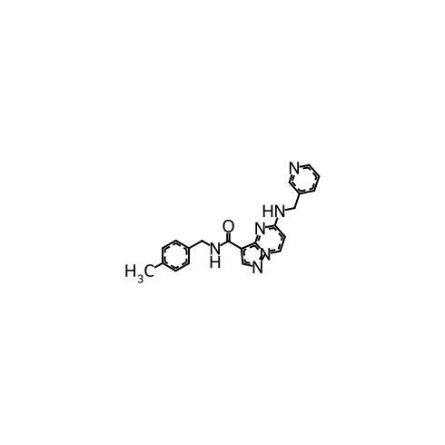 Cc1ccc(CNC(=O)c2cnn3ccc(NCc4cccnc4)nc23)cc1